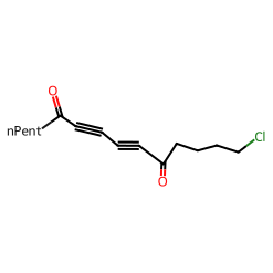 CCCCCC(=O)C#CC#CC(=O)CCCCCl